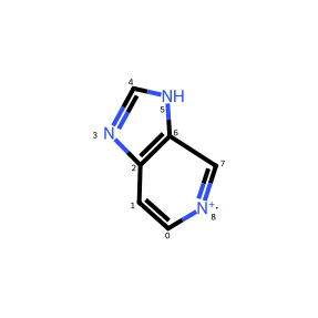 C1=Cc2nc[nH]c2C=[N+]1